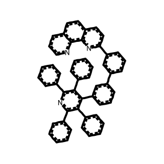 c1ccc(-c2nc(-c3ccccc3)c(-c3ccccc3)c(-c3cccc(-c4cccc(-c5ccc6ccc7cccnc7c6n5)c4)c3)c2-c2ccccc2)cc1